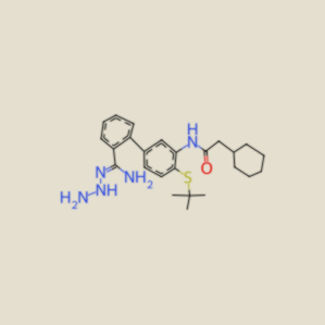 CC(C)(C)Sc1ccc(-c2ccccc2/C(N)=N/NN)cc1NC(=O)CC1CCCCC1